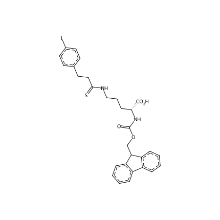 O=C(N[C@H](CCCNC(=S)CCc1ccc(I)cc1)C(=O)O)OCC1c2ccccc2-c2ccccc21